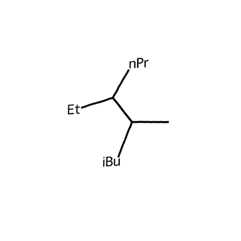 CCCC(CC)C(C)C(C)CC